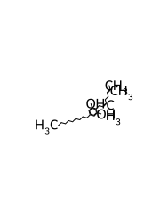 CCCCCCCCCCc1cc(O)c(CC=C(C)CCC=C(C)C)c(O)c1